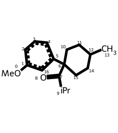 COc1cccc(C2(C(=O)C(C)C)CCC(C)CC2)c1